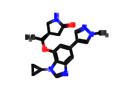 CC(Oc1cc(-c2cnn(C)c2)cc2ncn(C3CC3)c12)[C@H]1CNC(=O)C1